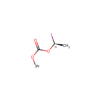 CC(C)OC(=O)O[C@H](C)I